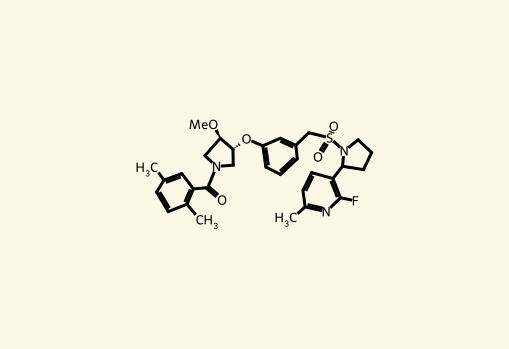 CO[C@@H]1CN(C(=O)c2cc(C)ccc2C)C[C@H]1Oc1cccc(CS(=O)(=O)N2CCCC2c2ccc(C)nc2F)c1